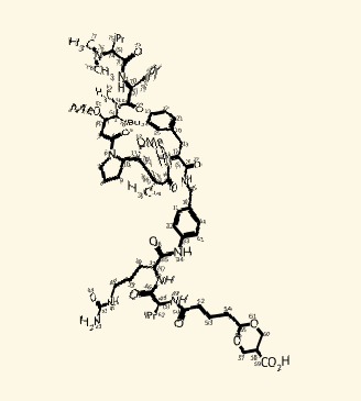 CC[C@H](C)[C@@H]([C@@H](CC(=O)N1CCCC1[C@H](OC)[C@@H](C)C(=O)N[C@@H](Cc1ccccc1)C(=O)NCc1ccc(NC(=O)[C@H](CCCNC(N)=O)NC(=O)[C@@H](NC(=O)CCCC2OCC(C(=O)O)CO2)C(C)C)cc1)OC)N(C)C(=O)[C@@H](NC(=O)[C@H](C(C)C)N(C)C)C(C)C